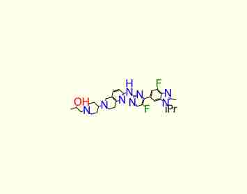 Cc1nc2c(F)cc(-c3nc(Nc4ccc5c(n4)CCN(C4CCN(CC(C)O)CC4)C5)ncc3F)cc2n1C(C)C